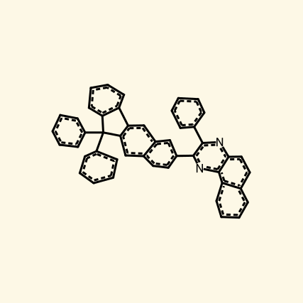 c1ccc(-c2nc3ccc4ccccc4c3nc2-c2ccc3cc4c(cc3c2)-c2ccccc2C4(c2ccccc2)c2ccccc2)cc1